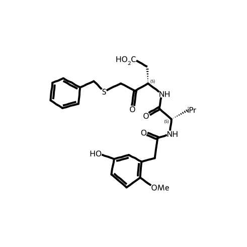 COc1ccc(O)cc1CC(=O)N[C@H](C(=O)N[C@@H](CC(=O)O)C(=O)CSCc1ccccc1)C(C)C